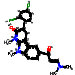 CN(C)/C=C/C(=O)c1ccc2c(c1)c1cc(-c3ccc(Cl)cc3F)c(=O)n(C)c1n2C